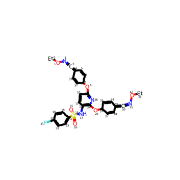 CCON=C=C1C=CC(Oc2ccc(NS(=O)(=O)c3ccc(F)cc3)c(OC3C=CC(=C=NOCC)C=C3)n2)C=C1